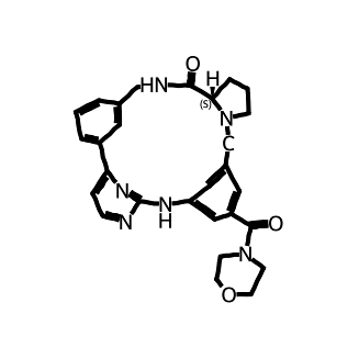 O=C1NCc2cccc(c2)-c2ccnc(n2)Nc2cc(cc(C(=O)N3CCOCC3)c2)CN2CCC[C@@H]12